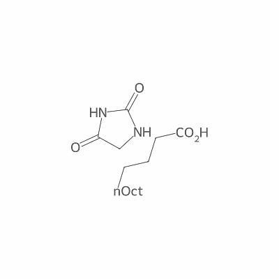 CCCCCCCCCCCC(=O)O.O=C1CNC(=O)N1